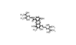 Cc1c(O)c(C=NCCN(C(C)O)C(C)O)c2nc3c(O)ccc(C(=O)NCCN(C(C)O)C(C)O)c3nc2c1O